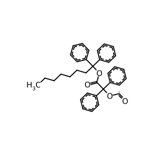 CCCCCCCC(OC(=O)C(O[C]=O)(c1ccccc1)c1ccccc1)(c1ccccc1)c1ccccc1